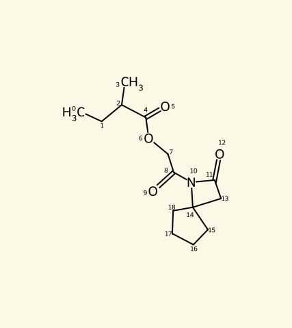 CCC(C)C(=O)OCC(=O)N1C(=O)CC12CCCC2